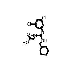 O=C(O)CNC(=Nc1cc(Cl)cc(Cl)c1)NCC1CCCCC1